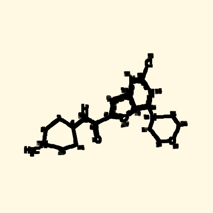 CN1CCC(NC(=O)c2cc3nc(Cl)nc(N4CCOCC4)c3o2)CC1